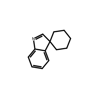 C1=Nc2ccccc2C12CCCCC2